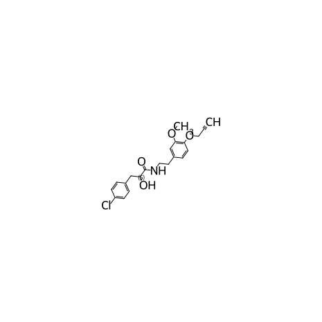 C#CCOc1ccc(CCNC(=O)[C@@H](O)Cc2ccc(Cl)cc2)cc1OC